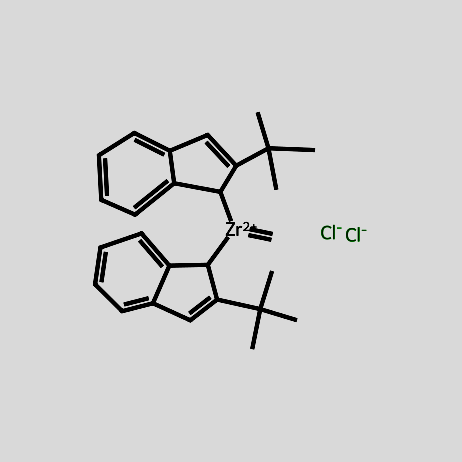 [CH2]=[Zr+2]([CH]1C(C(C)(C)C)=Cc2ccccc21)[CH]1C(C(C)(C)C)=Cc2ccccc21.[Cl-].[Cl-]